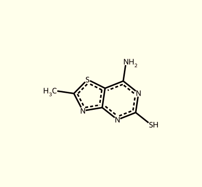 Cc1nc2nc(S)nc(N)c2s1